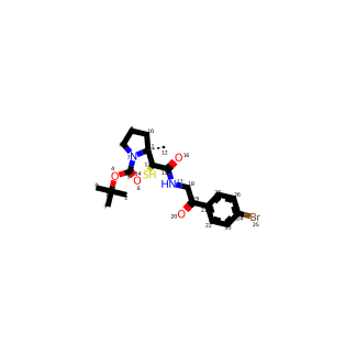 CC(C)(C)OC(=O)N1CCC[C@@]1(C)C(S)C(=O)NCC(=O)c1ccc(Br)cc1